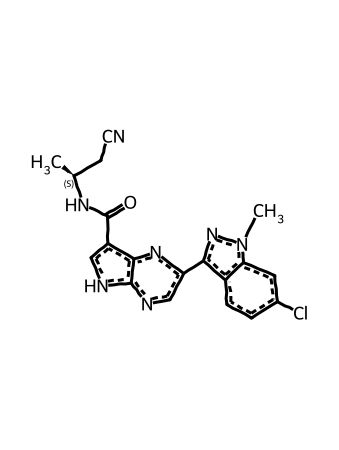 C[C@@H](CC#N)NC(=O)c1c[nH]c2ncc(-c3nn(C)c4cc(Cl)ccc34)nc12